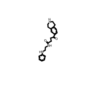 O=C(CCC(=O)c1ccc2c(c1)CCNCC2)NCCNc1ccccc1